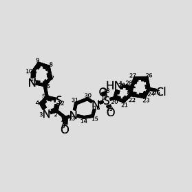 O=C(c1ncc(-c2ccccn2)s1)N1CCN(S(=O)(=O)c2cc3cc(Cl)ccc3[nH]2)CC1